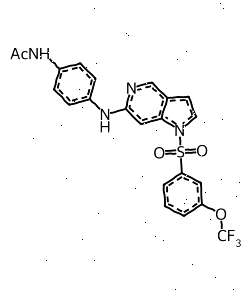 CC(=O)Nc1ccc(Nc2cc3c(ccn3S(=O)(=O)c3cccc(OC(F)(F)F)c3)cn2)cc1